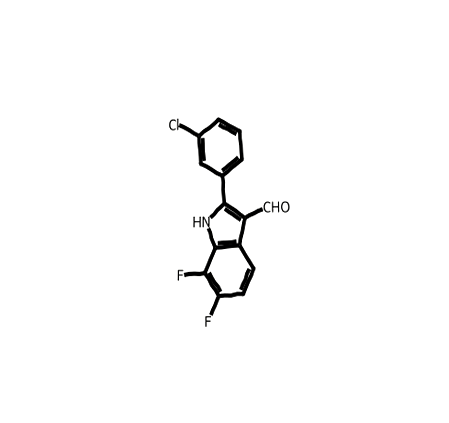 O=Cc1c(-c2cccc(Cl)c2)[nH]c2c(F)c(F)ccc12